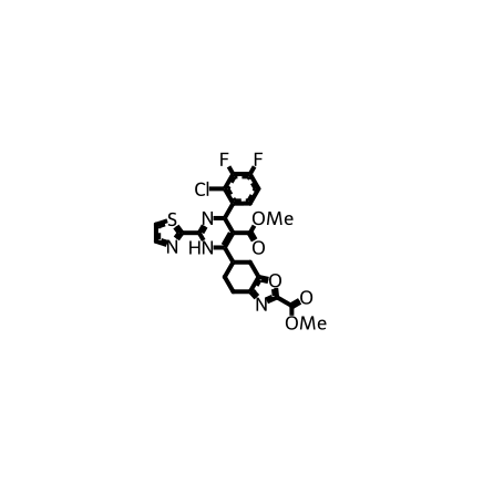 COC(=O)C1=C(C2CCc3nc(C(=O)OC)oc3C2)NC(c2nccs2)=NC1c1ccc(F)c(F)c1Cl